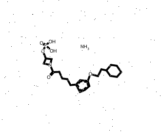 N.O=C(CCCCc1cccc(OCCC2CCCCC2)c1)N1CC(OP(=O)(O)O)C1